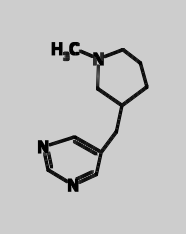 CN1CCCC(Cc2cncnc2)C1